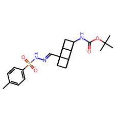 Cc1ccc(S(=O)(=O)N/N=C/C23C4C5C2C2C3C4C52NC(=O)OC(C)(C)C)cc1